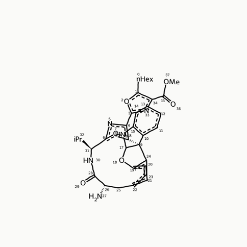 CCCCCCc1oc(-c2nc3oc2[C@@]24c5ccccc5NC2Oc2ccc(cc24)C[C@H](N)C(=O)N[C@H]3C(C)C)nc1C(=O)OC